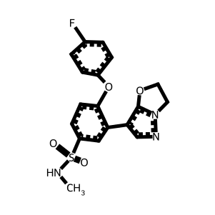 CNS(=O)(=O)c1ccc(Oc2ccc(F)cc2)c(-c2cnn3c2OCC3)c1